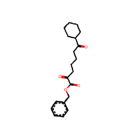 O=C(CCCCC(=O)C1CCCCC1)C(=O)OCc1ccccc1